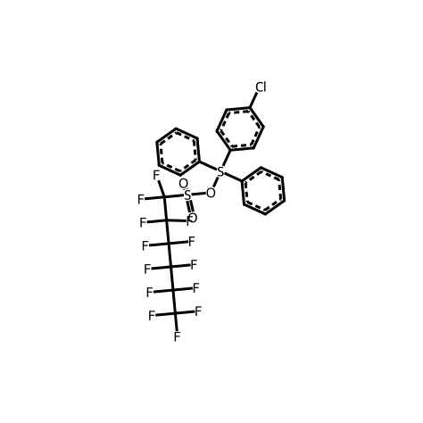 O=S(=O)(OS(c1ccccc1)(c1ccccc1)c1ccc(Cl)cc1)C(F)(F)C(F)(F)C(F)(F)C(F)(F)C(F)(F)C(F)(F)F